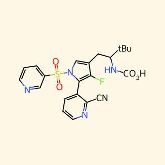 CC(C)(C)C(Cc1cn(S(=O)(=O)c2cccnc2)c(-c2cccnc2C#N)c1F)NC(=O)O